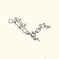 CC(C)(C)OC(=O)N(CCCN(C(=O)OC(C)(C)C)C1CCCCC1)CC1CCC(CNc2nc(N)cc(N3CCN(C(=O)CC(=O)O)CC3)n2)CC1